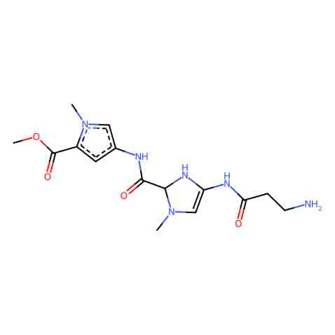 COC(=O)c1cc(NC(=O)C2NC(NC(=O)CCN)=CN2C)cn1C